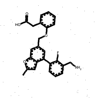 Cc1cc2c(-c3cccc(CN)c3F)cc(COc3ccccc3CC(=O)O)cc2o1